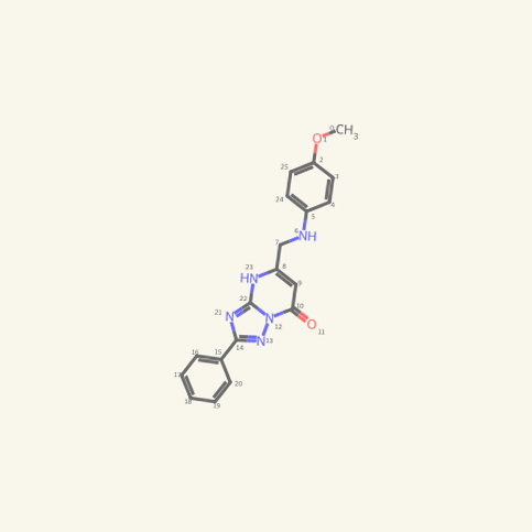 COc1ccc(NCc2cc(=O)n3nc(-c4ccccc4)nc3[nH]2)cc1